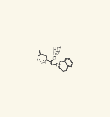 CC(C)C[C@H](N)C(=O)CN1CCCc2ccccc2C1.Cl.Cl